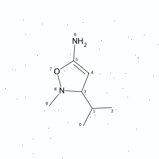 CC(C)C1C=C(N)ON1C